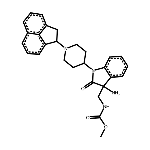 COC(=O)NCC1(N)C(=O)N(C2CCN(C3Cc4cccc5cccc3c45)CC2)c2ccccc21